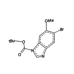 COc1cc2c(cc1Br)ncn2C(=O)OC(C)(C)C